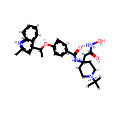 Cc1cc(C(C)Oc2ccc(C(=O)NC3(CC(=O)NO)CCN(C(C)(C)C)CC3)cc2)c2ccccc2n1